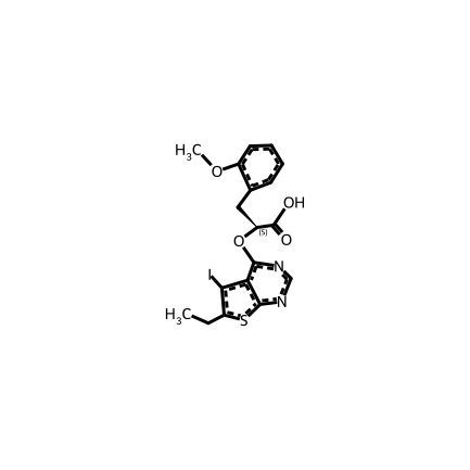 CCc1sc2ncnc(O[C@@H](Cc3ccccc3OC)C(=O)O)c2c1I